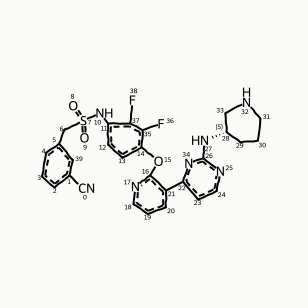 N#Cc1cccc(CS(=O)(=O)Nc2ccc(Oc3ncccc3-c3ccnc(N[C@H]4CCCNC4)n3)c(F)c2F)c1